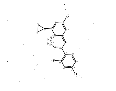 C/C=C(\C=C1\N=C(C(C)=O)C=C(C2CC2)N1C)c1ccc(C)cc1F